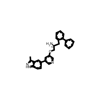 Cc1n[nH]c2ccc(-c3cncc(OC[C@@H](N)Cc4ccccc4-c4ccccc4)c3)cc12